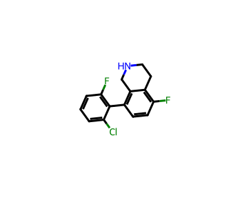 Fc1ccc(-c2c(F)cccc2Cl)c2c1CCNC2